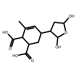 CC1=CC(C2CC(O)OC2O)CC(C(=O)O)C1C(=O)O